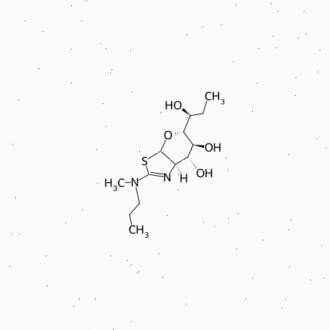 CCCN(C)C1=N[C@H]2C(O[C@H]([C@@H](O)CC)[C@@H](O)[C@@H]2O)S1